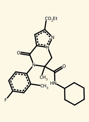 CCOC(=O)c1cc2n(n1)CC(C)(C(=O)NC1CCCCC1)N(c1ccc(F)cc1C)C2=O